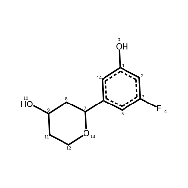 Oc1cc(F)cc(C2CC(O)CCO2)c1